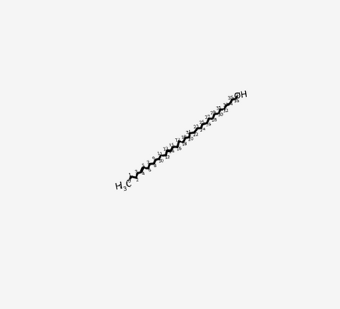 CCCCC=CCCCCCCCC=CCCCCCCCCCCCCCCCCCCCCCCO